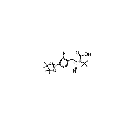 CC(C)(C)N(C(=O)O)[C@H](C#N)Cc1ccc(B2OC(C)(C)C(C)(C)O2)cc1F